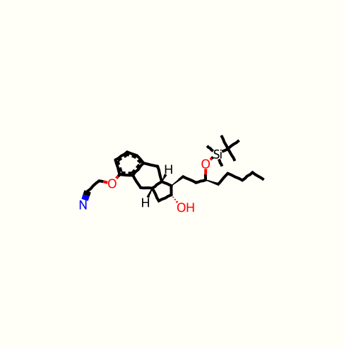 CCCCC[C@@H](CC[C@@H]1[C@H]2Cc3cccc(OCC#N)c3C[C@H]2C[C@H]1O)O[Si](C)(C)C(C)(C)C